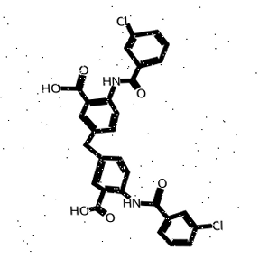 O=C(Nc1ccc(Cc2ccc(NC(=O)c3cccc(Cl)c3)c(C(=O)O)c2)cc1C(=O)O)c1cccc(Cl)c1